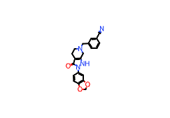 N#Cc1cccc(CN2CCc3c([nH]n(-c4ccc5c(c4)OCO5)c3=O)C2)c1